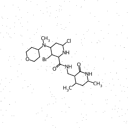 CC1CC(C)C(CNC(=O)C2NC(Cl)CC(N(C)C3CCOCC3)C2Br)C(=O)N1